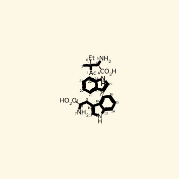 CC[C@@](C)(C(C)=O)[C@H](N)C(=O)O.N[C@@H](Cc1c[nH]c2ccccc12)C(=O)O.c1ccc2[nH]ccc2c1